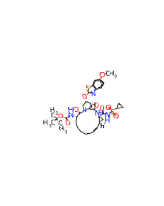 COc1ccc2nc(O[C@@H]3C[C@H]4C(=O)N[C@]5(C(=O)NS(=O)(=O)C6CC6)C[C@H]5/C=C\CCCCC[C@H](NC(=O)OC(C)(C)C)C(=O)N4C3)sc2c1